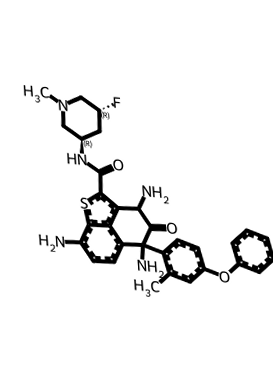 Cc1cc(Oc2ccccc2)ccc1C1(N)C(=O)C(N)c2c(C(=O)N[C@@H]3C[C@@H](F)CN(C)C3)sc3c(N)ccc1c23